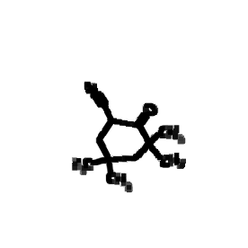 CC1(C)CC(C#N)C(=O)C(C)(C)C1